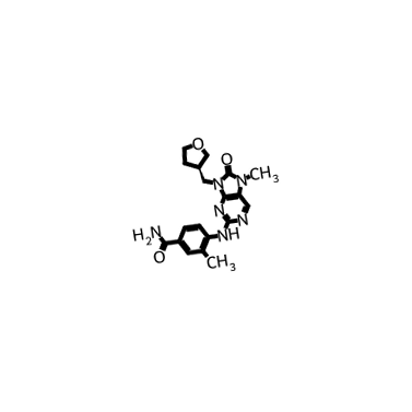 Cc1cc(C(N)=O)ccc1Nc1ncc2c(n1)n(C[C@H]1CCOC1)c(=O)n2C